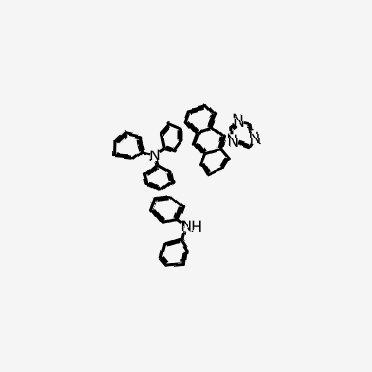 c1ccc(N(c2ccccc2)c2ccccc2)cc1.c1ccc(Nc2ccccc2)cc1.c1ccc2cc3ccccc3cc2c1.c1ncncn1